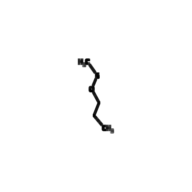 CCCOSC